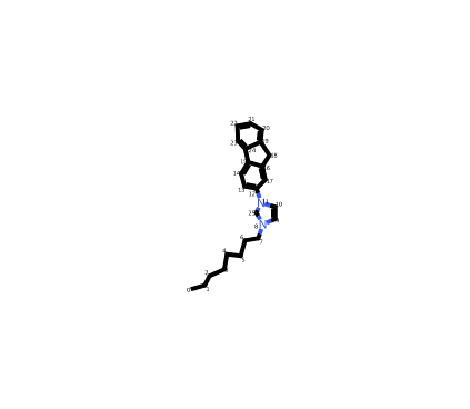 CCCCCCCCN1C=CN(c2ccc3c(c2)Cc2ccccc2-3)C1